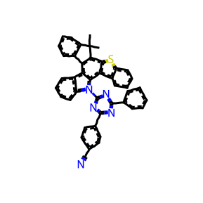 CC1(C)c2ccccc2-c2c1c1sc3ccccc3c1c1c2c2ccccc2n1-c1nc(-c2ccccc2)nc(-c2ccc(C#N)cc2)n1